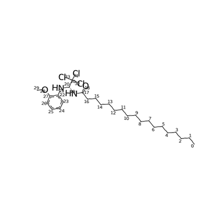 CCCCCCCCCCCCCCCCCC(=O)N[C@H](Nc1ccccc1OC)C(Cl)(Cl)Cl